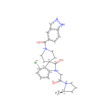 O=C(c1ccc2[nH]ncc2c1)N1CCC2(CC1)C(=O)N(CC(=O)N1CCC[C@H]1C(F)(F)F)c1cccc(Br)c12